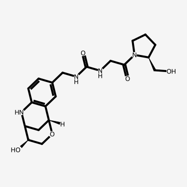 O=C(NCC(=O)N1CCC[C@H]1CO)NCc1ccc2c(c1)[C@H]1CC(N2)[C@H](O)CO1